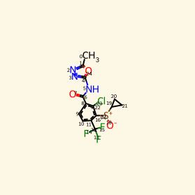 Cc1nnc(NC(=O)c2ccc(C(F)(F)F)c([S@+]([O-])C3CC3)c2Cl)o1